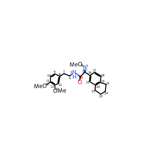 CO/N=C(\C(=O)NCCc1ccc(OC)c(OC)c1)c1ccc2c(c1)CCCC2